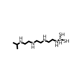 CC(C)NCCNCCNCCN[SH](S)S